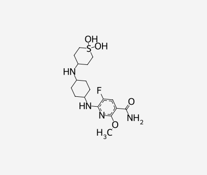 COc1nc(NC2CCC(NC3CCS(O)(O)CC3)CC2)c(F)cc1C(N)=O